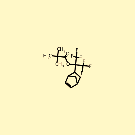 CC(C)(C)C(=O)OC(C1CC2C=CC1C2)(C(F)(F)F)C(F)(F)F